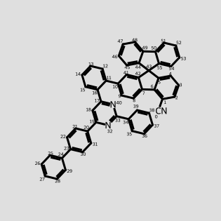 N#Cc1cccc2c1-c1ccc(-c3ccccc3-c3cc(-c4ccc(-c5ccccc5)cc4)nc(-c4ccccc4)n3)cc1C21c2ccccc2-c2ccccc21